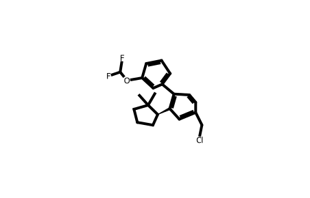 CC1(C)CCC[C@@H]1c1cc(CCl)ccc1-c1cccc(OC(F)F)c1